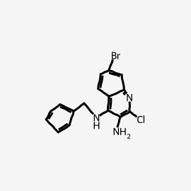 Nc1c(Cl)nc2cc(Br)ccc2c1NCc1ccccc1